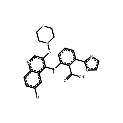 O=C(O)c1c(Nc2c(SN3CCOCC3)cnc3ccc(Cl)cc23)cccc1-c1ncco1